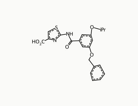 CC(C)Oc1cc(OCc2ccccc2)cc(C(=O)Nc2nc(C(=O)O)cs2)c1